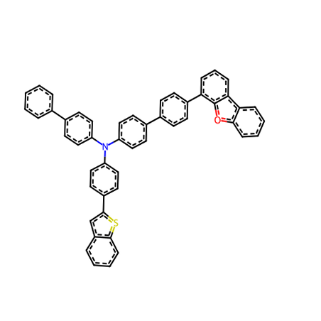 c1ccc(-c2ccc(N(c3ccc(-c4ccc(-c5cccc6c5oc5ccccc56)cc4)cc3)c3ccc(-c4cc5ccccc5s4)cc3)cc2)cc1